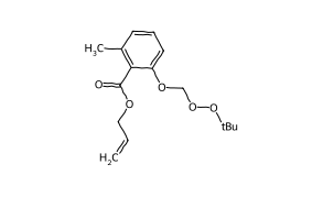 C=CCOC(=O)c1c(C)cccc1OCOOC(C)(C)C